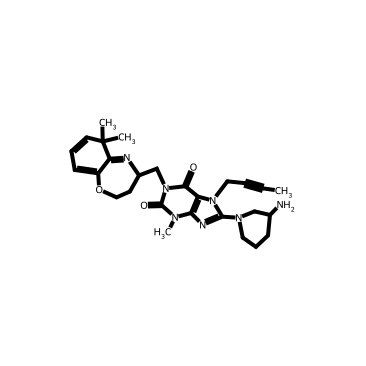 CC#CCn1c(N2CCCC(N)C2)nc2c1c(=O)n(CC1CCOC3=CC=CC(C)(C)C3=N1)c(=O)n2C